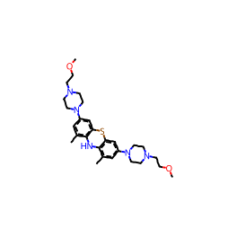 COCCN1CCN(c2cc(C)c3c(c2)Sc2cc(N4CCN(CCOC)CC4)cc(C)c2N3)CC1